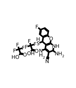 N#CC1=C(N)C2=C(NC1N)Oc1ccc(F)cc1C2S.O=C(O)C(F)(F)F.O=C(O)C(F)(F)F